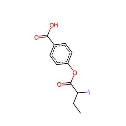 CCC(I)C(=O)Oc1ccc(C(=O)O)cc1